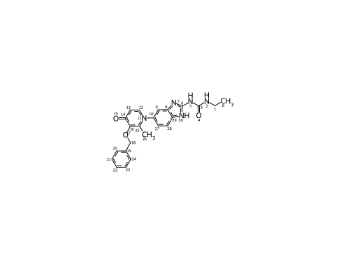 CCNC(=O)Nc1nc2cc(-n3ccc(=O)c(OCc4ccccc4)c3C)ccc2[nH]1